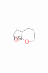 C1CCC2CCO[SiH]2OC1